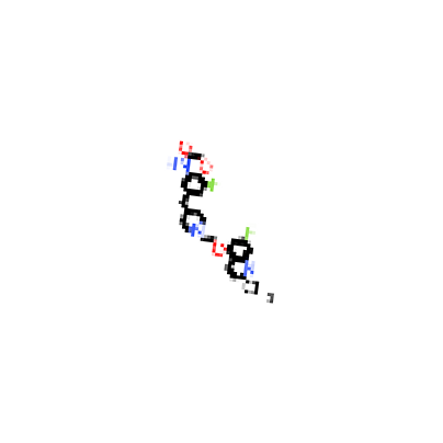 Cc1ccc2c(OCCN3CCC(Cc4cc(F)c5c(c4)NC(=O)CO5)CC3)cc(F)cc2n1